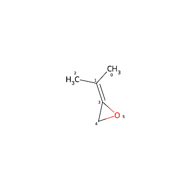 CC(C)=C1CO1